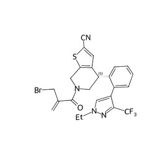 C=C(CBr)C(=O)N1Cc2sc(C#N)cc2[C@H](c2ccccc2-c2cn(CC)nc2C(F)(F)F)C1